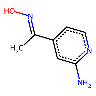 C/C(=N\O)c1ccnc(N)c1